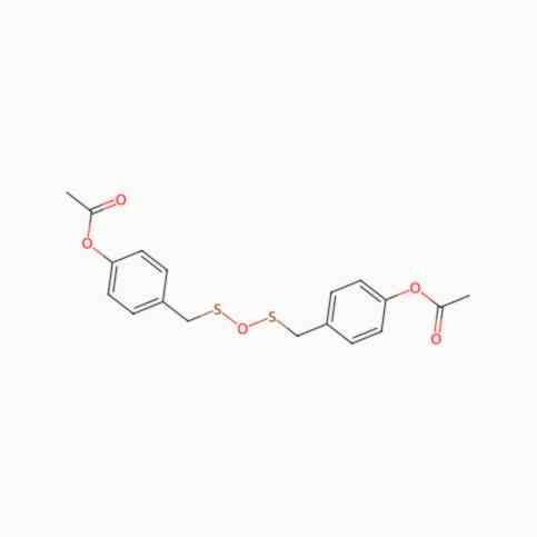 CC(=O)Oc1ccc(CSOSCc2ccc(OC(C)=O)cc2)cc1